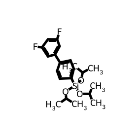 CC(C)O[Si](OC(C)C)(OC(C)C)c1ccc(-c2cc(F)cc(F)c2)cc1